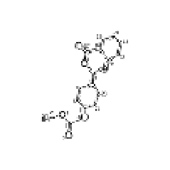 CC(C)OC(=O)Oc1ccc(-c2nc3ccccc3c(=O)o2)cc1